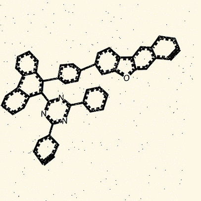 c1ccc(-c2nc(-c3ccccc3)nc(-c3c(-c4ccc(-c5ccc6c(c5)oc5cc7c#cccc7cc56)cc4)c4ccccc4c4ccccc34)n2)cc#1